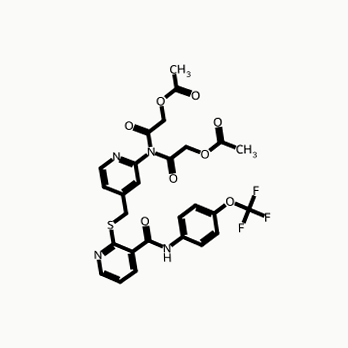 CC(=O)OCC(=O)N(C(=O)COC(C)=O)c1cc(CSc2ncccc2C(=O)Nc2ccc(OC(F)(F)F)cc2)ccn1